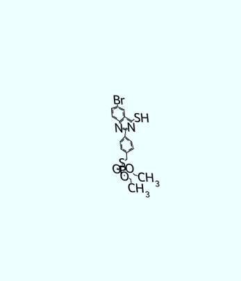 CCOP(=O)(OCC)SCc1ccc(-c2nc(S)c3cc(Br)ccc3n2)cc1